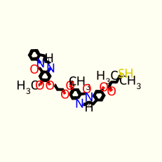 COc1cc2c(cc1OCCCOc1cc3c(cc1OC)C(=O)N1c4cc(OC(=O)CCC(C)(C)S)ccc4C[C@H]1C=N3)N=C[C@@H]1Cc3ccccc3N1C2=O